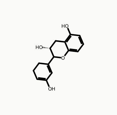 OC1=CCCC(C2Oc3cccc(O)c3C[C@H]2O)=C1